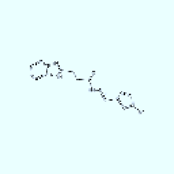 O=C(CSc1nc2ccccc2[nH]1)N/N=C/c1ccc(Br)s1